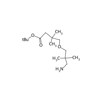 CC(C)(CN)COCC(C)(C)CC(=O)OC(C)(C)C